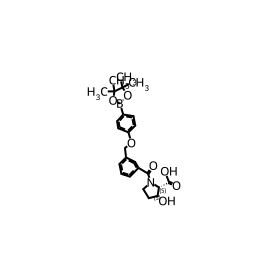 CC1(C)OB(c2ccc(OCc3cccc(C(=O)N4CC[C@H](O)[C@H]4C(=O)O)c3)cc2)OC1(C)C